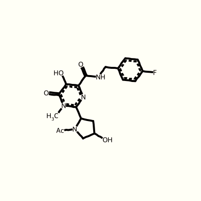 CC(=O)N1CC(O)CC1c1nc(C(=O)NCc2ccc(F)cc2)c(O)c(=O)n1C